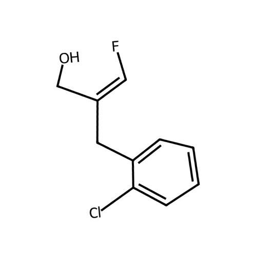 OCC(=CF)Cc1ccccc1Cl